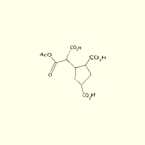 CC(=O)OC(=O)C(C(=O)O)C1CC(C(=O)O)CC1C(=O)O